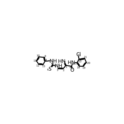 N=C(/C=C\NC(=S)Nc1ccccc1)C(=O)Nc1ccccc1Cl